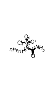 CCCCCN(C(N)=O)S(=O)(=O)Cl